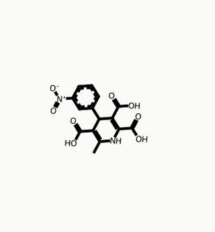 CC1=C(C(=O)O)C(c2cccc([N+](=O)[O-])c2)C(C(=O)O)=C(C(=O)O)N1